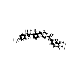 Cc1ccc(NC(=O)Nc2cccc(CN3CCN(C(=O)OCCN(C)C(=O)C(C)C)CC3)c2F)cn1